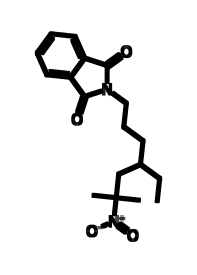 CCC(CCCN1C(=O)c2ccccc2C1=O)CC(C)(C)[N+](=O)[O-]